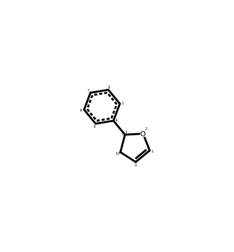 C1=CO[C](c2ccccc2)C1